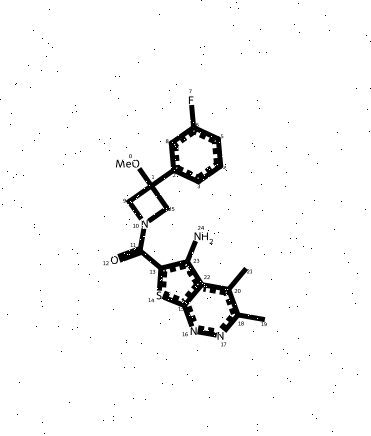 COC1(c2cccc(F)c2)CN(C(=O)c2sc3nnc(C)c(C)c3c2N)C1